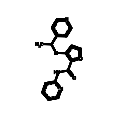 CC(Oc1ccoc1C(=O)Nc1ccccn1)c1ccncc1